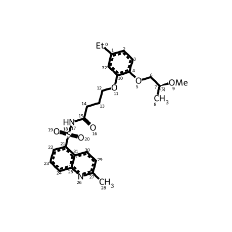 CCc1ccc(OC[C@H](C)OC)c(OCCCC(=O)NS(=O)(=O)c2cccc3nc(C)ccc23)c1